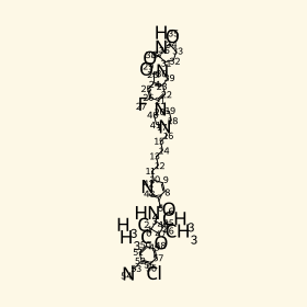 CC1(C)[C@H](NC(=O)c2ccc(CCCCCCN3CCN(c4cc5c(cc4F)C(=O)N([C@H]4CCC(=O)NC4=O)C5)CC3)nc2)C(C)(C)[C@H]1Oc1ccc(C#N)c(Cl)c1